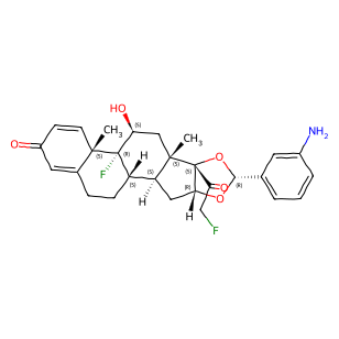 C[C@]12C=CC(=O)C=C1CC[C@H]1[C@@H]3C[C@H]4O[C@@H](c5cccc(N)c5)O[C@@]4(C(=O)CF)[C@@]3(C)C[C@H](O)[C@@]12F